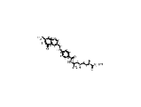 CCC[C@H](C)C(=O)NCCCC[C@H](NC(=O)c1ccc(NCc2cnc3cc(N)[nH]c(=O)c3n2)cc1)C(=O)O